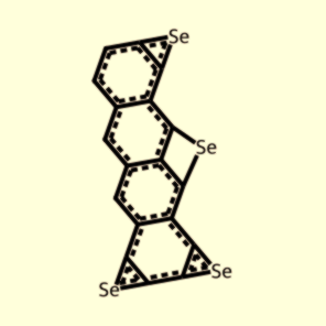 c1cc2[se]c2c2c3c4c(c5c(cc4cc12)c1[se]c1c1[se]c15)[Se]3